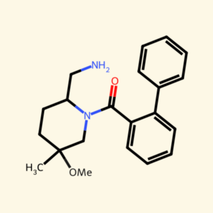 COC1(C)CCC(CN)N(C(=O)c2ccccc2-c2ccccc2)C1